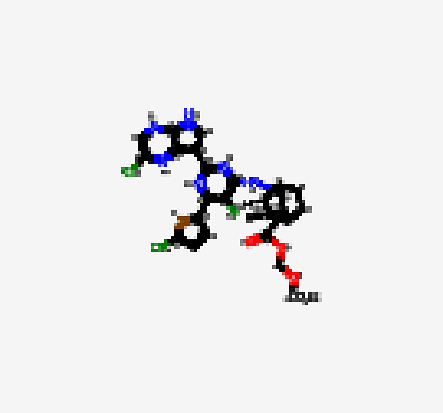 CCOC(=O)OCOC(=O)[C@H]1C2CCC(CC2)[C@@H]1Nc1nc(-c2c[nH]c3ncc(Cl)nc23)nc(-c2ccc(Cl)s2)c1F